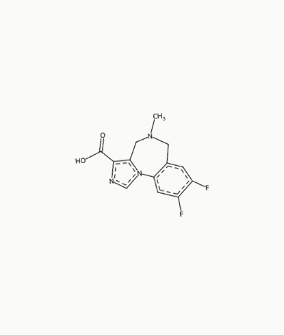 CN1Cc2cc(F)c(F)cc2-n2cnc(C(=O)O)c2C1